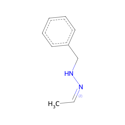 C/C=N\NCc1ccccc1